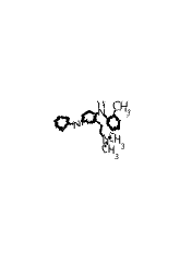 Cc1ccccc1Nc1ccc(Nc2ccccc2)cc1CCN(C)C